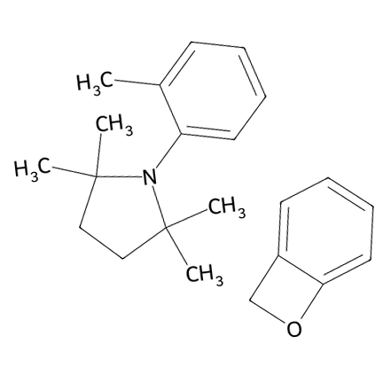 Cc1ccccc1N1C(C)(C)CCC1(C)C.c1ccc2c(c1)CO2